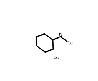 ONC1CCCCC1.[Cu]